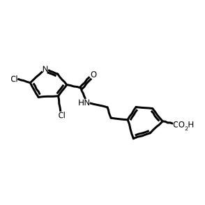 O=C(O)c1ccc(CCNC(=O)c2cnc(Cl)cc2Cl)cc1